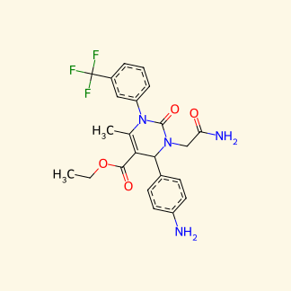 CCOC(=O)C1=C(C)N(c2cccc(C(F)(F)F)c2)C(=O)N(CC(N)=O)C1c1ccc(N)cc1